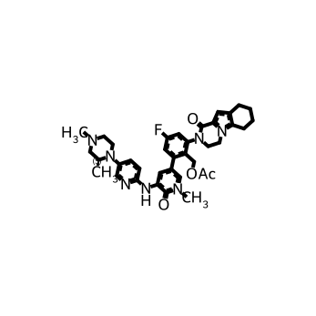 CC(=O)OCc1c(-c2cc(Nc3ccc(N4CCN(C)C[C@@H]4C)cn3)c(=O)n(C)c2)cc(F)cc1N1CCn2c(cc3c2CCCC3)C1=O